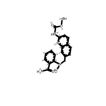 CC(=O)N(Cc1ccc2ccc(NC(=O)OC(C)(C)C)nc2c1)c1ccccc1C(N)=O